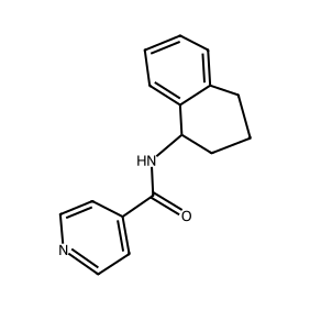 O=C(NC1CCCc2ccccc21)c1ccncc1